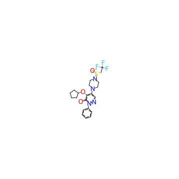 O=c1c(OC2CCCC2)c(N2CCN([S+]([O-])CC(F)(F)F)CC2)cnn1-c1ccccc1